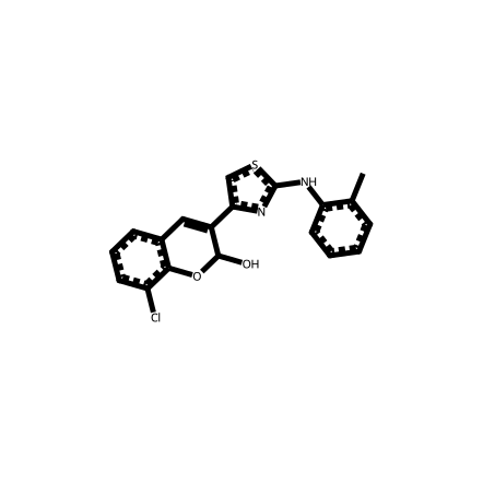 Cc1ccccc1Nc1nc(C2=Cc3cccc(Cl)c3OC2O)cs1